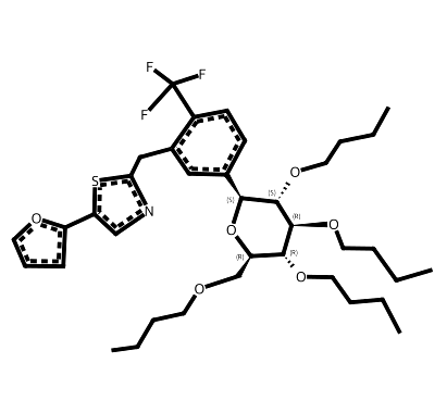 CCCCOC[C@H]1O[C@@H](c2ccc(C(F)(F)F)c(Cc3ncc(-c4ccco4)s3)c2)[C@H](OCCCC)[C@@H](OCCCC)[C@@H]1OCCCC